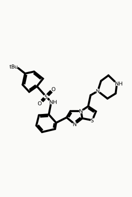 CC(C)(C)c1ccc(S(=O)(=O)Nc2ccccc2-c2cn3c(CN4CCNCC4)csc3n2)cc1